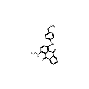 CNc1ccc(Nc2ccc(OC)cc2)c2c1C(=O)c1ccccc1C2=O